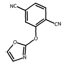 N#Cc1ccc(C#N)c(Oc2nc[c]o2)c1